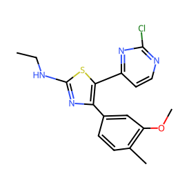 CCNc1nc(-c2ccc(C)c(OC)c2)c(-c2ccnc(Cl)n2)s1